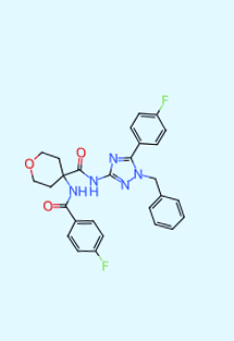 O=C(NC1(C(=O)Nc2nc(-c3ccc(F)cc3)n(Cc3ccccc3)n2)CCOCC1)c1ccc(F)cc1